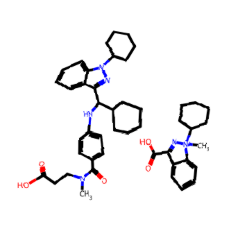 CN(CCC(=O)O)C(=O)c1ccc(NC(c2nn(C3CCCCC3)c3ccccc23)C2CCCCC2)cc1.C[N+]1(C2CCCCC2)N=C(C(=O)O)c2ccccc21